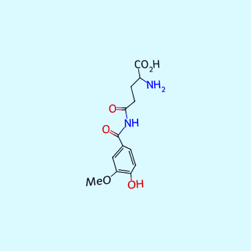 COc1cc(C(=O)NC(=O)CCC(N)C(=O)O)ccc1O